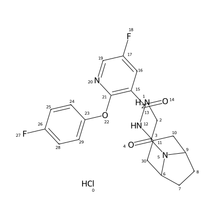 Cl.NCC(=O)N1C2CCC1CC(NC(=O)c1cc(F)cnc1Oc1ccc(F)cc1)C2